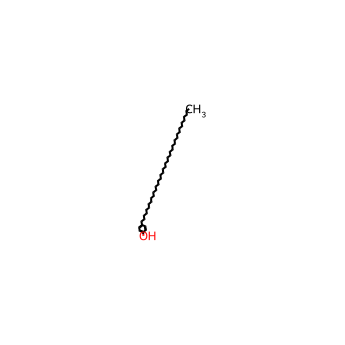 CCCCCCCCCCCCCCCCCCCCCCCCCCCCCCCCCCCCCCCCc1ccc(O)cc1